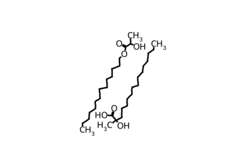 CCCCCCCCCCCCCCC(C)(O)C(=O)O.CCCCCCCCCCCCCCOC(=O)C(C)O